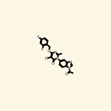 CC(=O)n1cnc2cc(-n3c(C)nc(OCc4ccc(F)cc4F)c(Cl)c3=O)ccc21